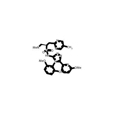 CNC[C@@H](Cc1ncc(C)cn1)S(=O)(=O)Nc1nnc(-c2cccc(OC)n2)n1-c1c(OC)cccc1OC